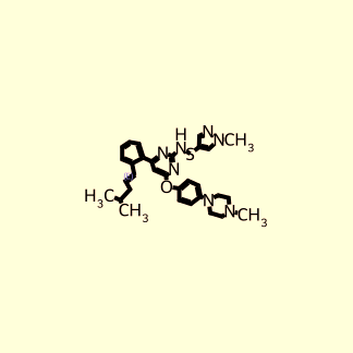 CC(C)C/C=C/c1ccccc1-c1cc(Oc2ccc(N3CCN(C)CC3)cc2)nc(NSc2cnn(C)c2)n1